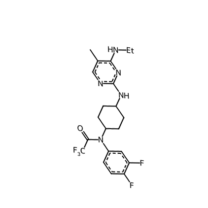 CCNc1nc(NC2CCC(N(C(=O)C(F)(F)F)c3ccc(F)c(F)c3)CC2)ncc1C